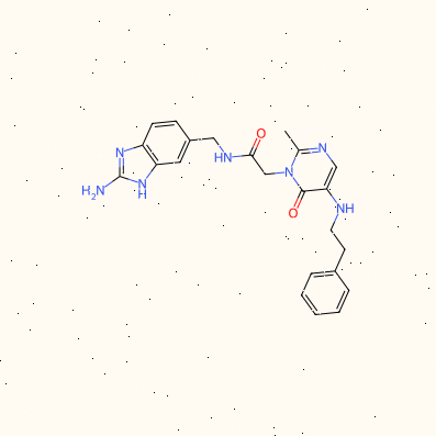 Cc1ncc(NCCc2ccccc2)c(=O)n1CC(=O)NCc1ccc2nc(N)[nH]c2c1